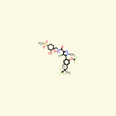 Cn1nc(C(=O)NCC2(O)CCC(S(C)(=O)=O)CC2O)c(Cl)c1-c1ccc(CC(C)(C)C(F)(F)F)cc1OC(F)F